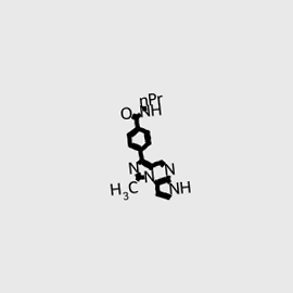 CCCNC(=O)c1ccc(-c2nc(C)n3c2cnc2[nH]ccc23)cc1